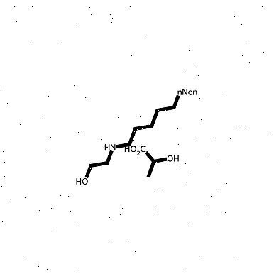 CC(O)C(=O)O.CCCCCCCCCCCCCCNCCO